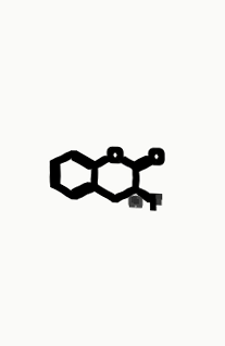 O=C1Oc2ccccc2C[C@@H]1F